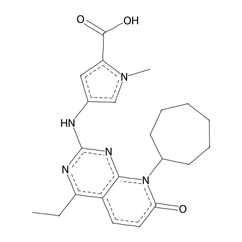 CCc1nc(Nc2cc(C(=O)O)n(C)c2)nc2c1ccc(=O)n2C1CCCCCC1